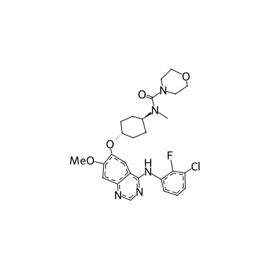 COc1cc2ncnc(Nc3cccc(Cl)c3F)c2cc1O[C@H]1CC[C@H](N(C)C(=O)N2CCOCC2)CC1